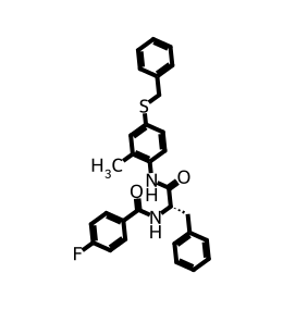 Cc1cc(SCc2ccccc2)ccc1NC(=O)[C@H](Cc1ccccc1)NC(=O)c1ccc(F)cc1